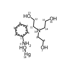 Nc1ccccc1.OCCN(CCO)CCO.[OH][Hg]